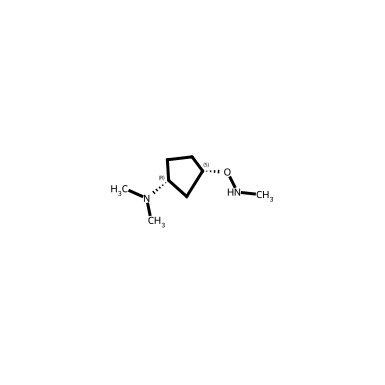 CNO[C@H]1CC[C@@H](N(C)C)C1